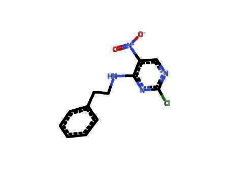 O=[N+]([O-])c1cnc(Cl)nc1NCCc1ccccc1